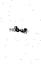 COc1cc(CCC(C)N[S+]([O-])C(C)(C)C)ccc1O